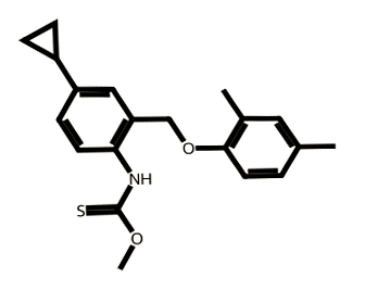 COC(=S)Nc1ccc(C2CC2)cc1COc1ccc(C)cc1C